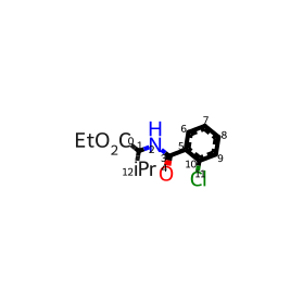 CCOC(=O)C(NC(=O)c1ccccc1Cl)C(C)C